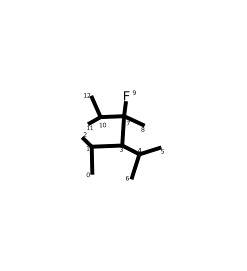 CC(C)C(C(C)C)C(C)(F)C(C)C